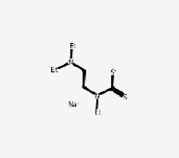 CCN(CC)CCN(CC)C(=S)[S-].[Na+]